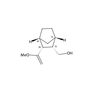 C=C(OC)[C@@H]1[C@@H]2CC[C@@H](C2)[C@@H]1CO